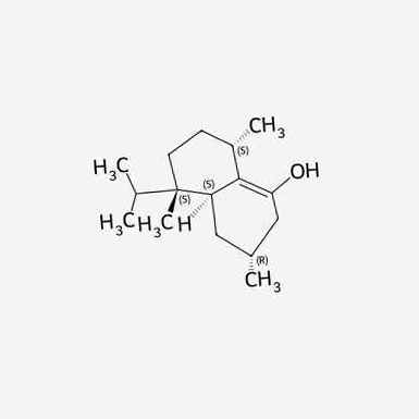 CC(C)[C@]1(C)CC[C@H](C)C2=C(O)C[C@H](C)C[C@H]21